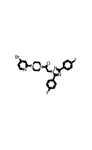 O=C(Cn1nc(-c2ccc(F)cc2)nc1-c1ccc(F)cc1)N1CCN(c2cc(Br)ccn2)CC1